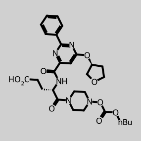 CCCCOC(=O)ON1CCN(C(=O)[C@H](CCC(=O)O)NC(=O)c2cc(O[C@H]3CCOC3)nc(-c3ccccc3)n2)CC1